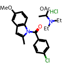 CCN(CC)C(C)OC(C)=O.COc1ccc2c(c1)cc(C)n2C(=O)c1ccc(Cl)cc1.Cl